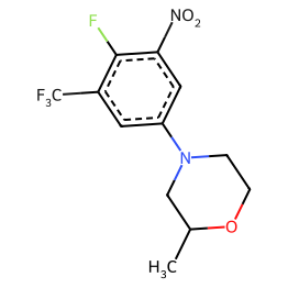 CC1CN(c2cc([N+](=O)[O-])c(F)c(C(F)(F)F)c2)CCO1